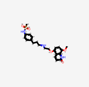 COc1ccc(OCCNCCCc2ccc(NS(C)(=O)=O)cc2)c2ccc(=O)[nH]c12